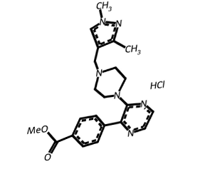 COC(=O)c1ccc(-c2nccnc2N2CCN(Cc3cn(C)nc3C)CC2)cc1.Cl